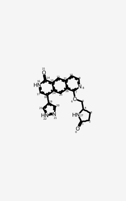 O=C1CCC(COc2nccc3cc4c(=O)[nH]cc(-c5cn[nH]c5)c4cc23)N1